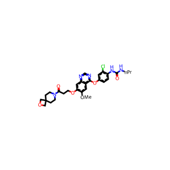 CCCNC(=O)Nc1ccc(Oc2ncnc3cc(OCCC(=O)N4CCC5(CC4)COC5)c(OC)cc23)cc1Cl